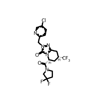 O=C([C@H]1C[C@@H](C(F)(F)F)Cc2nn(Cc3ccc(Cl)cn3)c(=O)n21)N1CCC(F)(F)C1